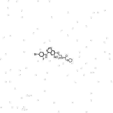 O=C(CN1CCCC1)NCCOc1cc2ncnc(Nc3ccc(Br)cc3F)c2cc1[N+](=O)[O-]